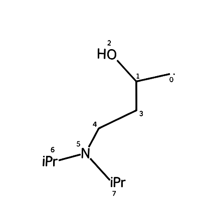 [CH2]C(O)CCN(C(C)C)C(C)C